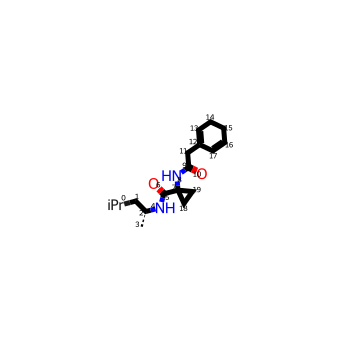 CC(C)C[C@@H](C)NC(=O)C1(NC(=O)CC2=CCCC=C2)CC1